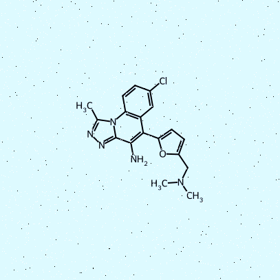 Cc1nnc2c(N)c(-c3ccc(CN(C)C)o3)c3cc(Cl)ccc3n12